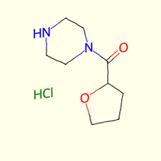 Cl.O=C(C1CCCO1)N1CCNCC1